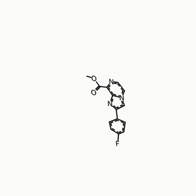 COC(=O)c1nccn2cc(-c3ccc(F)cc3)nc12